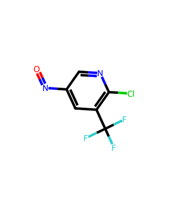 O=Nc1cnc(Cl)c(C(F)(F)F)c1